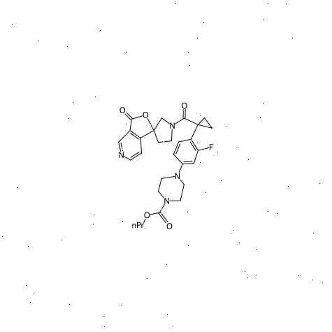 CCCOC(=O)N1CCN(c2ccc(C3(C(=O)N4CCC5(C4)OC(=O)c4cnccc45)CC3)c(F)c2)CC1